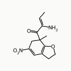 CC=C(N)C(=O)C1(C)CC([N+](=O)[O-])=CC2=C1OCC2